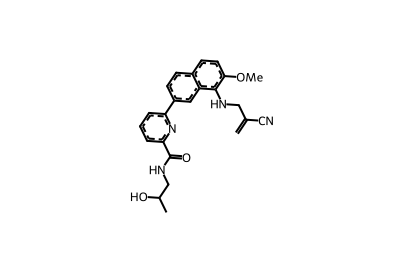 C=C(C#N)CNc1c(OC)ccc2ccc(-c3cccc(C(=O)NCC(C)O)n3)cc12